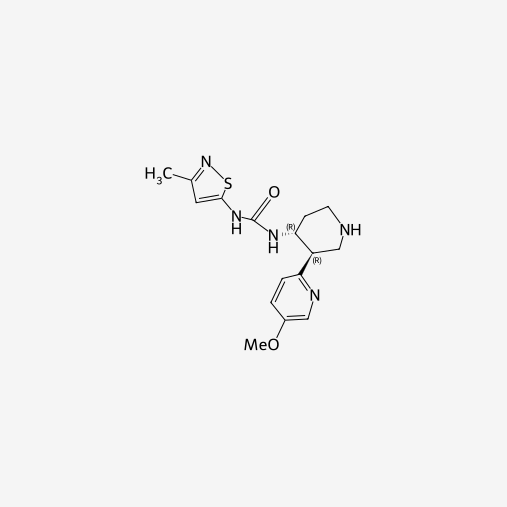 COc1ccc([C@@H]2CNCC[C@H]2NC(=O)Nc2cc(C)ns2)nc1